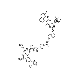 Cc1ncsc1-c1ccc([C@H](C)NC(=O)[C@@H]2C[C@@H](O)CN2C(=O)[C@@H](c2cc(N3CCN(C(=O)OC[C@@H]4CC[C@@]5(COc6nc(N7C[C@H]8CC[C@@H](C7)N8)c7cnc(-c8cccc9ccc(F)c(F)c89)c(F)c7n6)CCCN45)CC3)no2)C(C)C)cc1